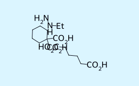 CCNN.O=C(O)C1(C(=O)O)CCCCC1.O=C(O)CCCCC(=O)O